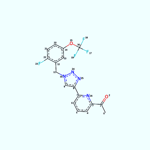 CC(=O)c1cccc(-c2cn(Cc3cc(OC(F)(F)F)ccc3F)nn2)n1